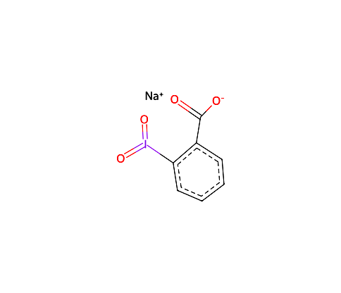 O=C([O-])c1ccccc1I(=O)=O.[Na+]